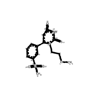 COCCn1c(-c2cccc(S(C)(=O)=O)c2)cc(=O)[nH]c1=S